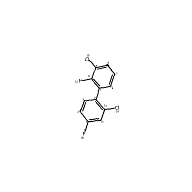 Fc1ccc(-c2[c]ccc(Cl)c2F)c(Cl)c1